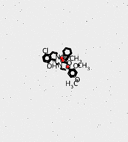 COc1ccc(COC(=O)[C@@]2(C)CCCC[C@H]2C(=O)N2CCc3c(Cl)ccc(O)c3[C@H]2CN2CCOCC2=O)c(OC)c1